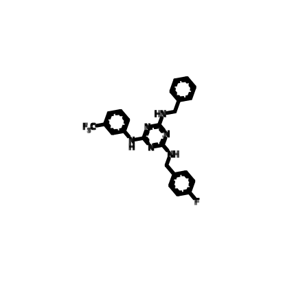 Fc1ccc(CNc2nc(NCc3ccccc3)nc(Nc3cccc(C(F)(F)F)c3)n2)cc1